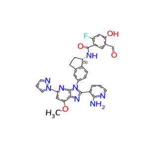 COc1cc(-n2cccn2)nc2c1nc(-c1cccnc1N)n2-c1ccc2c(c1)CC[C@@H]2NC(=O)c1cc(C=O)c(O)cc1F